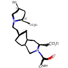 CCOC(=O)C1CC2CC(CN3C[C@@H](SC)C[C@H]3C(=O)OCC)CCC2CN1C(=O)OC